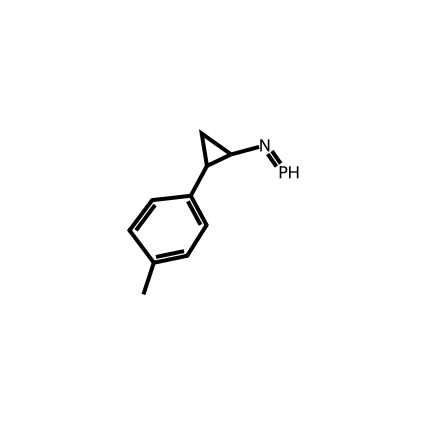 Cc1ccc(C2CC2N=P)cc1